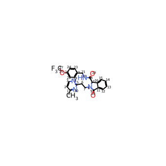 Cc1ccnc(CCN2C(=O)c3ccccc3C2C(=O)NCc2ccc(OC(F)(F)F)cc2)n1